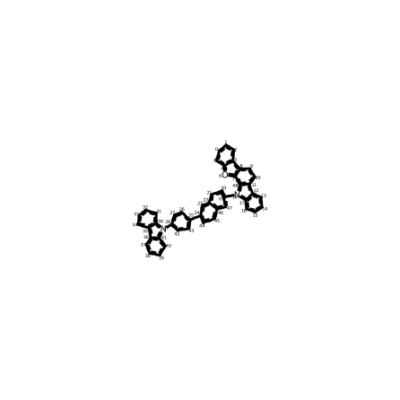 c1ccc2c(c1)oc1c2ccc2c3ccccc3n(-c3ccc4cc(-c5ccc(-n6c7ccccc7c7ccccc76)cc5)ccc4c3)c21